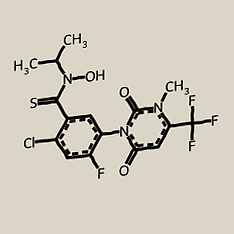 CC(C)N(O)C(=S)c1cc(-n2c(=O)cc(C(F)(F)F)n(C)c2=O)c(F)cc1Cl